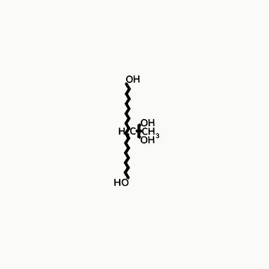 CC(C)(CO)CO.OCCCCCCCCCCCCCCCCCCCCO